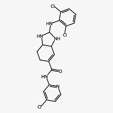 O=C(Nc1cc(Cl)ccn1)C1=CC2NC(Nc3c(Cl)cccc3Cl)NC2CC1